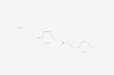 CN(C)C[C@@H]1COc2cc(NC(=O)/C=C/c3ccc(C(C)(C)C)cc3)ccc2O1